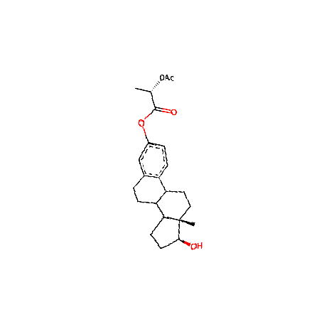 CC(=O)O[C@@H](C)C(=O)Oc1ccc2c(c1)CCC1C2CC[C@@]2(C)C1CC[C@@H]2O